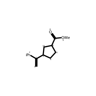 C=C(C(C)C)C1CCC(C(=O)OC)C1